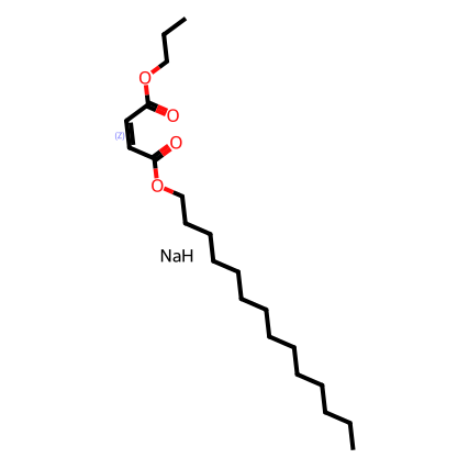 CCCCCCCCCCCCCCOC(=O)/C=C\C(=O)OCCC.[NaH]